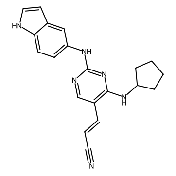 N#CC=Cc1cnc(Nc2ccc3[nH]ccc3c2)nc1NC1CCCC1